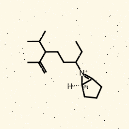 C=C(C)C(CCC(CC)[N+]1=C2CCC[C@H]21)C(C)C